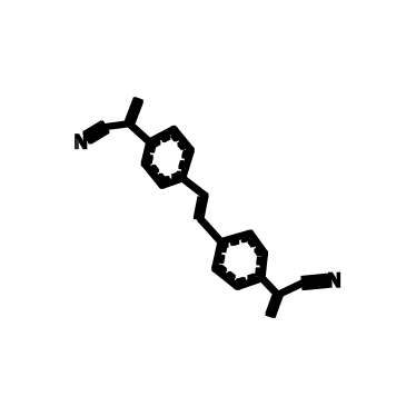 C=C(C#N)c1ccc(/C=C/c2ccc(C(=C)C#N)cc2)cc1